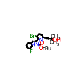 CC(C)(O)C#Cc1ccc(Br)c([C@H](Cc2cccc(F)c2)NC(=O)OC(C)(C)C)n1